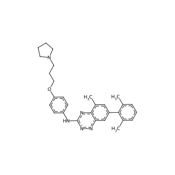 Cc1cccc(C)c1-c1cc(C)c2nc(Nc3ccc(OCCCN4CCCC4)cc3)nnc2c1